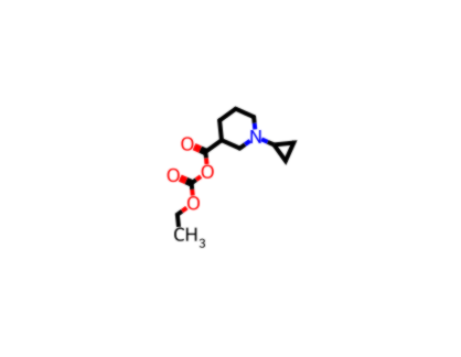 CCOC(=O)OC(=O)C1CCCN(C2CC2)C1